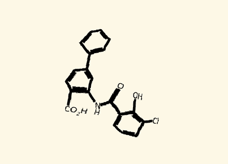 O=C(O)c1ccc(-c2ccccc2)cc1NC(=O)c1cccc(Cl)c1O